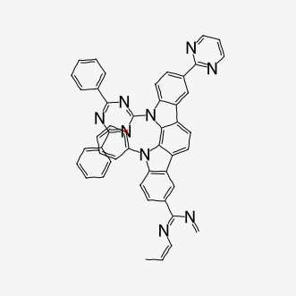 C=N/C(=N\C=C/C)c1ccc2c(c1)c1ccc3c4cc(-c5ncccn5)ccc4n(-c4nc(-c5ccccc5)nc(-c5ccccc5)n4)c3c1n2-c1ccccc1